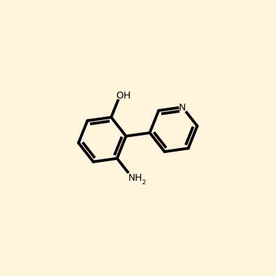 Nc1cccc(O)c1-c1cccnc1